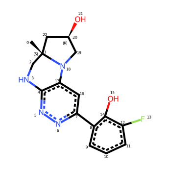 C[C@]12CNc3nnc(-c4cccc(F)c4O)cc3N1C[C@H](O)C2